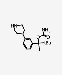 CC(C)(C)C(I)(OC(N)=O)c1cccc(C2CCNCC2)c1